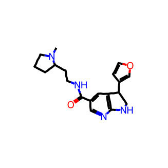 CN1CCCC1CCNC(=O)c1cnc2c(c1)C(c1ccoc1)CN2